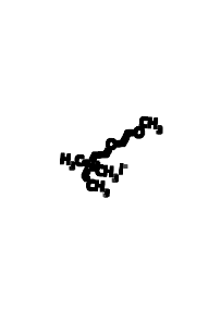 CC[N+](C)(C)CCOCCOC.[I-]